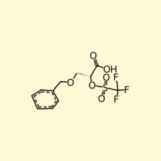 O=C(O)[C@@H](COCc1ccccc1)OS(=O)(=O)C(F)(F)F